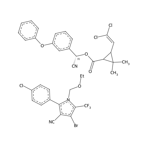 CC1(C)C(C=C(Cl)Cl)C1C(=O)O[C@H](C#N)c1cccc(Oc2ccccc2)c1.CCOCn1c(-c2ccc(Cl)cc2)c(C#N)c(Br)c1C(F)(F)F